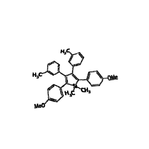 COc1ccc(C2=C(c3cccc(C)c3)C(c3cccc(C)c3)=C(c3ccc(OC)cc3)[Si]2(C)C)cc1